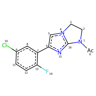 CC(=O)N1CCn2cc(-c3cc(Cl)ccc3F)nc21